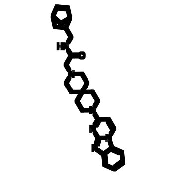 O=C(CN1CCC2(CC1)CCN(c1ccn3c(n1)nc1ccccc13)CC2)NCC1CC2C=CC1C2